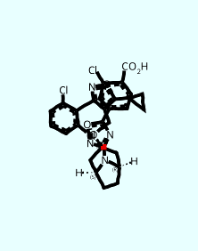 O=C(O)c1ccc(-c2nc(N3[C@@H]4CC[C@H]3C[C@@H](OCc3c(-c5c(Cl)cccc5Cl)noc3C3CC3)C4)no2)cc1Cl